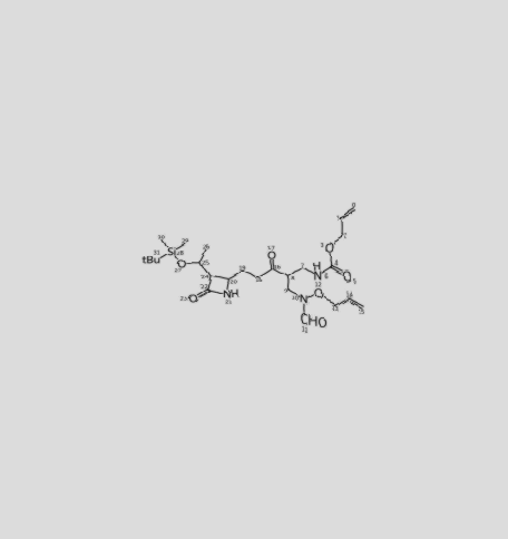 C=CCOC(=O)NCC(CN(C=O)OCC=C)C(=O)CCC1NC(=O)C1C(C)O[Si](C)(C)C(C)(C)C